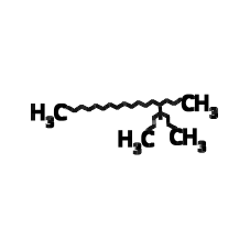 CCCCCCCCCCCCCCC(CCCC)[C](CCCC)CCCC